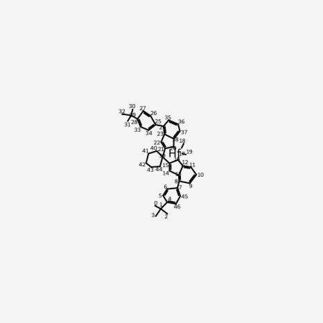 CC(C)(C)c1ccc(-c2cccc3c2C=C2[CH]3[Hf]([CH3])([CH3])[CH]3C(=Cc4c(-c5ccc(C(C)(C)C)cc5)cccc43)C23CCCCC3)cc1